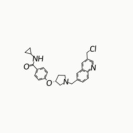 O=C(NC1CC1)c1ccc(O[C@@H]2CCN(Cc3ccc4ncc(CCl)cc4c3)C2)cc1